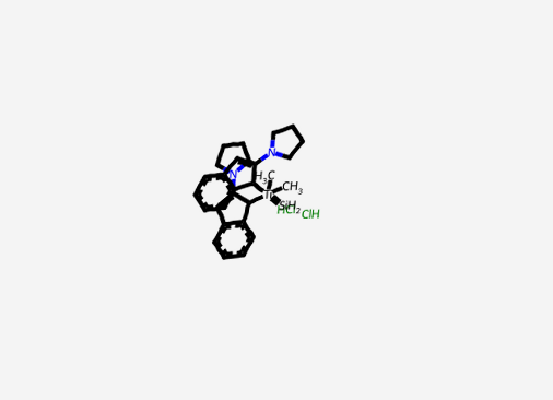 Cl.Cl.[CH3][Ti]([CH3])(=[SiH2])([CH]1C(N2CCCC2)=Cc2ccccc21)[CH]1C(N2CCCC2)=Cc2ccccc21